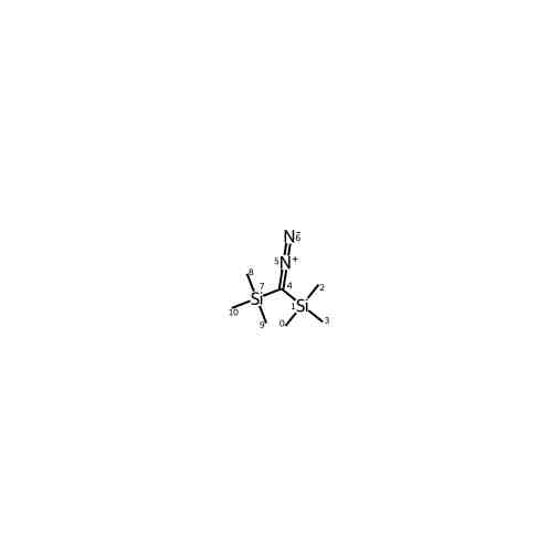 C[Si](C)(C)C(=[N+]=[N-])[Si](C)(C)C